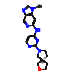 CC(C)n1cnc2cnc(Nc3ccnc(N4CC[C@@]5(CCOC5)C4)n3)cc21